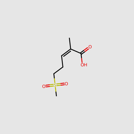 CC(=CCCS(C)(=O)=O)C(=O)O